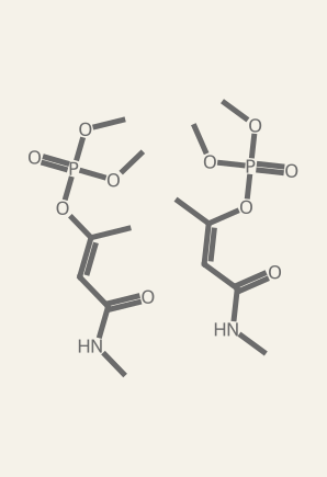 CNC(=O)/C=C(/C)OP(=O)(OC)OC.CNC(=O)/C=C(\C)OP(=O)(OC)OC